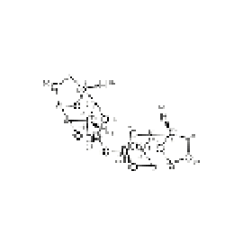 O[C@@H]1C2OB(OB3OC4C5OC[C@@H](O5)C(O3)[C@@H]4O)OC1[C@@H]1COC2O1